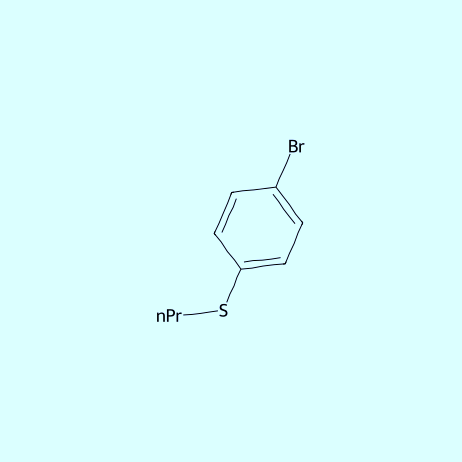 CCCSc1ccc(Br)cc1